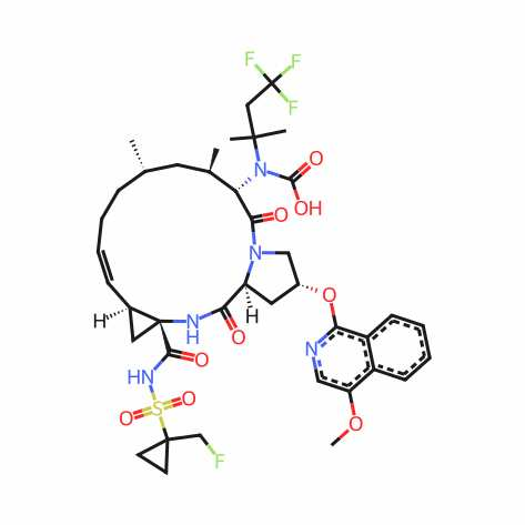 COc1cnc(O[C@@H]2C[C@H]3C(=O)N[C@]4(C(=O)NS(=O)(=O)C5(CF)CC5)C[C@H]4C=CCC[C@H](C)C[C@@H](C)[C@H](N(C(=O)O)C(C)(C)CC(F)(F)F)C(=O)N3C2)c2ccccc12